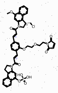 COc1cc2c(c3ccccc13)[C@H](CCl)CN2C(=O)/C=C/c1ccc(/C=C/C(=O)N2CCc3c2cc(OP(=O)(O)O)c2ccccc32)c(OCCOCCN2C(=O)C=CC2=O)c1